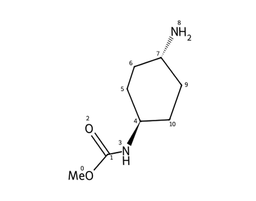 COC(=O)N[C@H]1CC[C@H](N)CC1